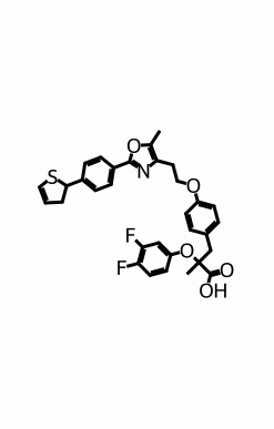 Cc1oc(-c2ccc(C3CC=CS3)cc2)nc1CCOc1ccc(CC(C)(Oc2ccc(F)c(F)c2)C(=O)O)cc1